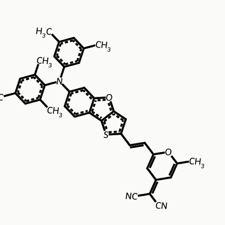 CC1=CC(=C(C#N)C#N)C=C(/C=C/c2cc3oc4cc(N(c5cc(C)cc(C)c5)c5c(C)cc(C)cc5C)ccc4c3s2)O1